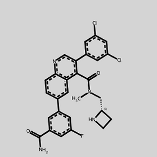 CN(C[C@@H]1CCN1)C(=O)c1c(-c2cc(Cl)cc(Cl)c2)cnc2ccc(-c3cc(F)cc(C(N)=O)c3)cc12